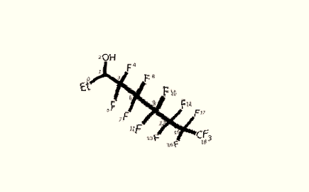 CCC(O)C(F)(F)C(F)(F)C(F)(F)C(F)(F)C(F)(F)C(F)(F)F